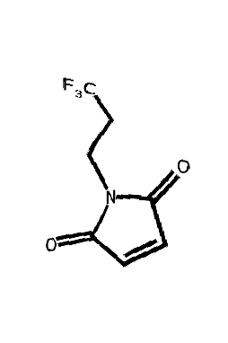 O=C1C=CC(=O)N1CCC(F)(F)F